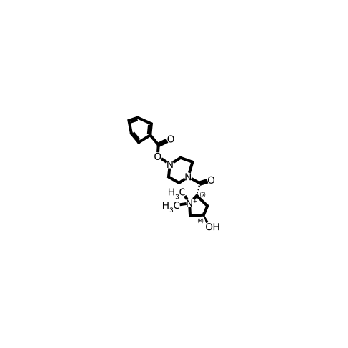 C[N+]1(C)C[C@H](O)C[C@H]1C(=O)N1CCN(OC(=O)c2ccccc2)CC1